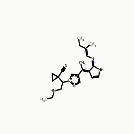 CCNCC(n1cc(\C(C)=C2/C=CN/C2=N/C=C(\C)CC)cn1)C1(C#N)CC1